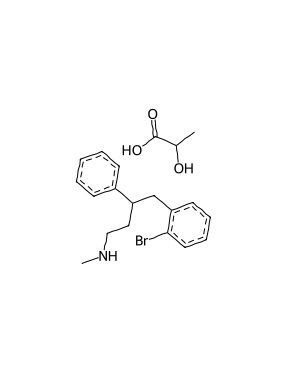 CC(O)C(=O)O.CNCCC(Cc1ccccc1Br)c1ccccc1